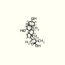 C[C@H](C[C@@H](C)[C@H]1CCC2C3C(CC[C@@]21C)[C@@]1(C)CC[C@@H](O)C[C@H]1C[C@H]3O)C(=O)O